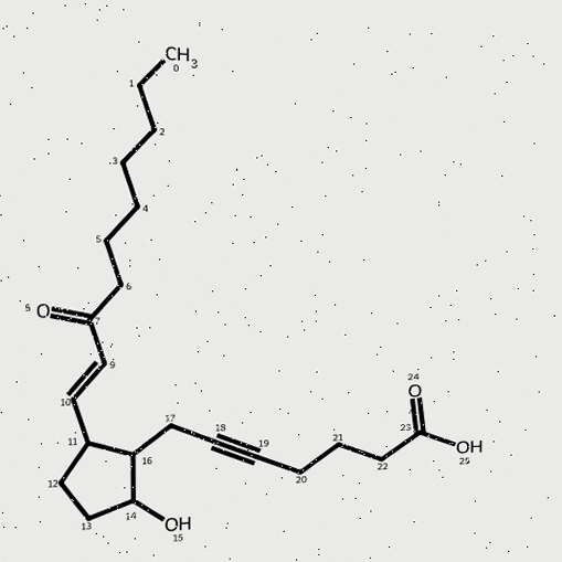 CCCCCCCC(=O)C=CC1CCC(O)C1CC#CCCCC(=O)O